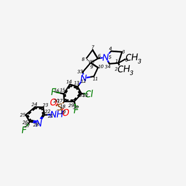 CC1(C)CCN(C2CC[C@@]23CCN(c2cc(F)c(S(=O)(=O)Nc4cccc(F)n4)c(F)c2Cl)C3)C1